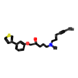 CCN(CC=CC#CC(C)(C)C)CCCC(=O)COc1cccc(-c2ccsc2)c1